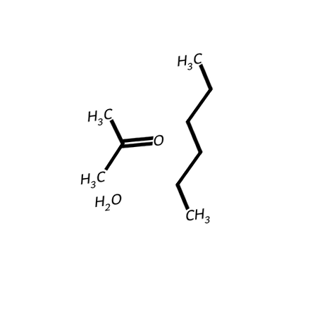 CC(C)=O.CCCCCC.O